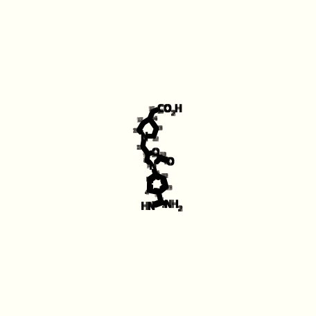 N=C(N)c1ccc(N2CC(CN3CCC(CC(=O)O)CC3)OC2=O)cc1